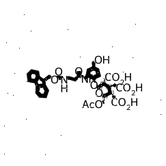 CC(=O)OC[C@@H]1O[C@@H](Oc2ccc(CO)cc2NC(=O)CCNC(=O)OCC2c3ccccc3-c3ccccc32)[C@H](CC(=O)O)[C@@H](CC(=O)O)[C@@H]1CC(=O)O